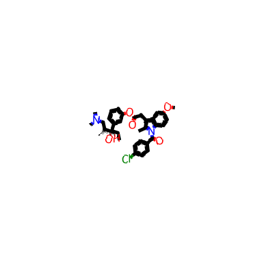 CC[C@](O)(c1cccc(OC(=O)Cc2c(C)n(C(=O)c3ccc(Cl)cc3)c3ccc(OC)cc23)c1)[C@H](C)CN(C)C